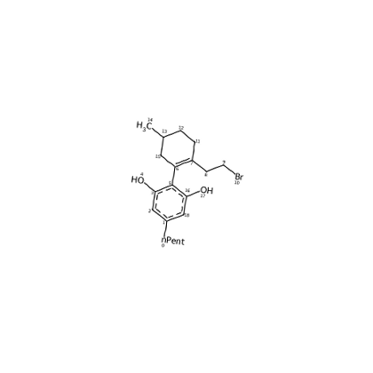 CCCCCc1cc(O)c(C2=C(CCBr)CCC(C)C2)c(O)c1